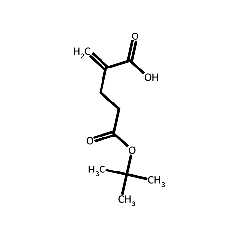 C=C(CCC(=O)OC(C)(C)C)C(=O)O